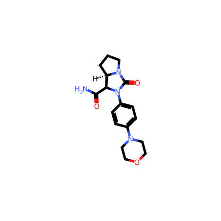 NC(=O)C1[C@H]2[CH]CCN2C(=O)N1c1ccc(N2CCOCC2)cc1